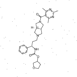 Cc1nc(C)c(C(=O)N2CC3CN(CCC(NC(=O)OC4CCOC4)c4ccccc4)C[C@H]3C2)c(C)n1